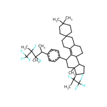 CC(c1ccc(C2CC3(C)C(CC[C@H]3C(C)(F)C(F)(F)F)C3CCC4CC5(CCC4=C23)CCC(C)(C)CC5)cc1)C(C)(F)C(C)(F)C(F)(F)F